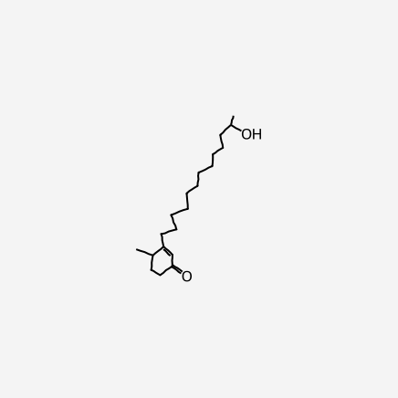 CC(O)CCCCCCCCCCCC1=CC(=O)CCC1C